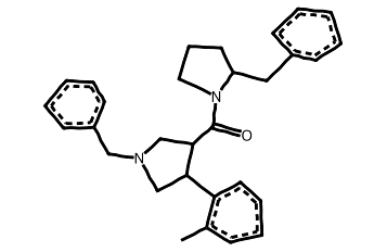 Cc1ccccc1C1CN(Cc2ccccc2)CC1C(=O)N1CCCC1Cc1ccccc1